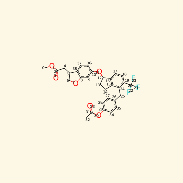 COC(=O)CC1COc2cc(O[C@@H]3CCc4c3ccc(C(F)(F)F)c4Cc3ccc(OC(C)=O)cc3)ccc21